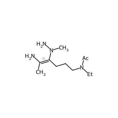 CCN(CCC/C(=C(\C)N)N(C)N)C(C)=O